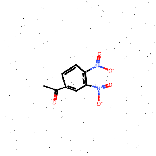 CC(=O)c1ccc([N+](=O)[O-])c([N+](=O)[O-])c1